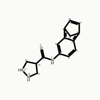 O=C(Nc1ccc2c(c1)=C1C=CC=2C1)C1CNNC1